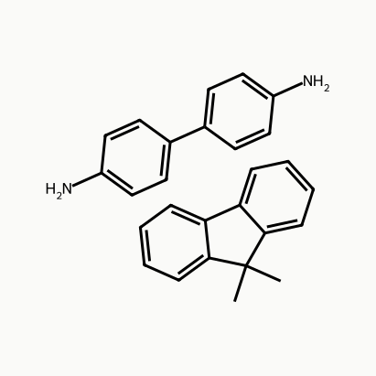 CC1(C)c2ccccc2-c2ccccc21.Nc1ccc(-c2ccc(N)cc2)cc1